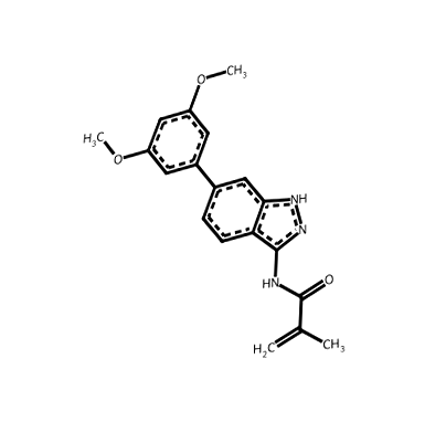 C=C(C)C(=O)Nc1n[nH]c2cc(-c3cc(OC)cc(OC)c3)ccc12